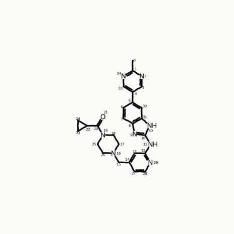 Cc1ncc(-c2ccc3nc(Nc4cc(CN5CCN(C(=O)C6CC6)CC5)ccn4)[nH]c3c2)cn1